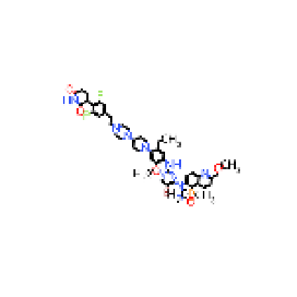 CCc1cc(Nc2ncc(Br)c(Nc3ccc4nc(COC)ccc4c3P(C)(C)=O)n2)c(OC)cc1N1CCC(N2CCN(CCc3cc(F)c(C4CCC(=O)NC4=O)c(F)c3)CC2)CC1